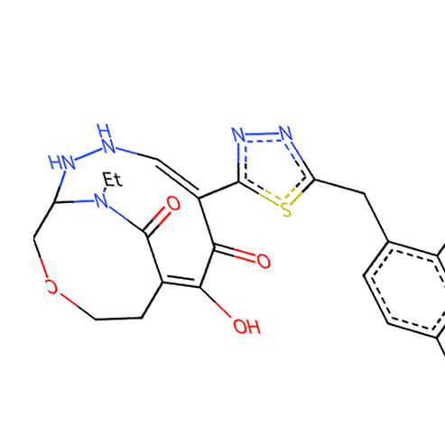 CCN1C(=O)/C2=C(\O)C(=O)/C(c3nnc(Cc4ccc(F)cc4F)s3)=C\NNC1COCC2